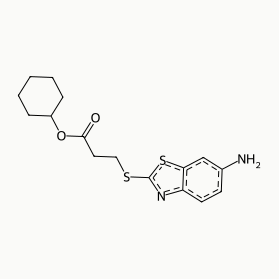 Nc1ccc2nc(SCCC(=O)OC3CCCCC3)sc2c1